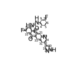 O=C(Nc1cccc(F)c1)Nc1cc(F)cc(C(=O)c2ccc3ncc(-c4cn[nH]c4)cc3c2)c1F